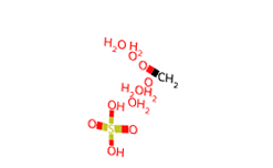 C=O.O.O.O.O.O.O=S(=O)(O)O